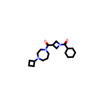 O=C(C1CN(C(=O)C2CCCCC2)C1)N1CCCN(C2CCC2)CC1